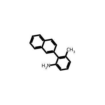 Cc1cccc(N)c1-c1ccc2ccccc2c1